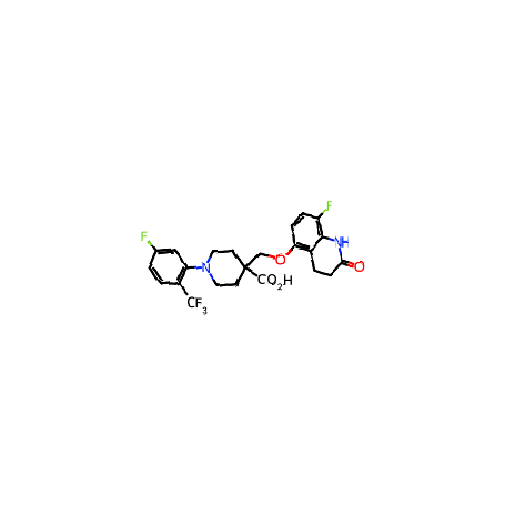 O=C1CCc2c(OCC3(C(=O)O)CCN(c4cc(F)ccc4C(F)(F)F)CC3)ccc(F)c2N1